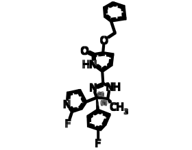 C[C@@H]1NC(c2ccc(OCc3ccccc3)c(=O)[nH]2)=N[C@@]1(c1ccc(F)cc1)c1ccnc(F)c1